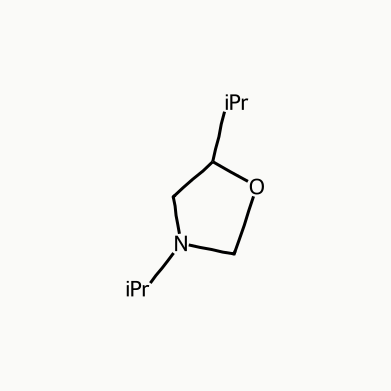 CC(C)C1CN(C(C)C)CO1